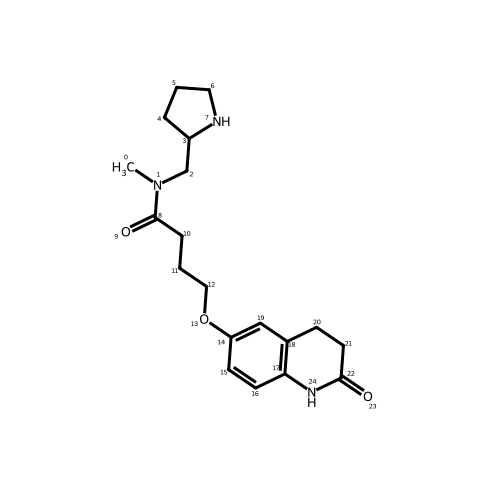 CN(CC1CCCN1)C(=O)CCCOc1ccc2c(c1)CCC(=O)N2